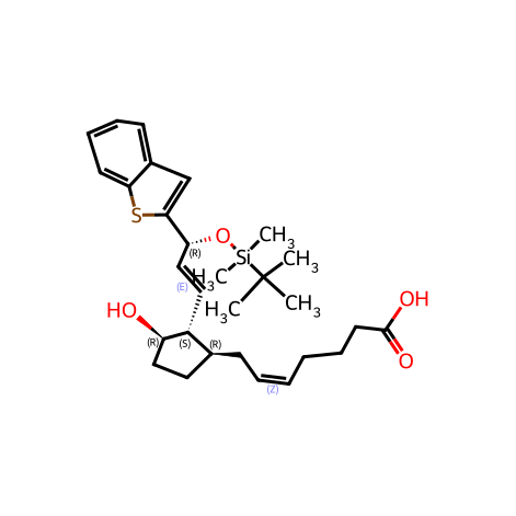 CC(C)(C)[Si](C)(C)O[C@H](/C=C/[C@@H]1[C@@H](C/C=C\CCCC(=O)O)CC[C@H]1O)c1cc2ccccc2s1